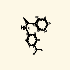 C=C(Nc1ccc(C(C)C)cc1)c1ccccc1